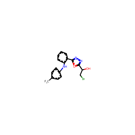 OC(CBr)c1nnc(-c2ccccc2Nc2ccc(C(F)(F)F)cc2)o1